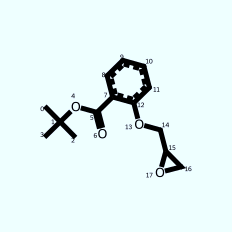 CC(C)(C)OC(=O)c1ccccc1OCC1CO1